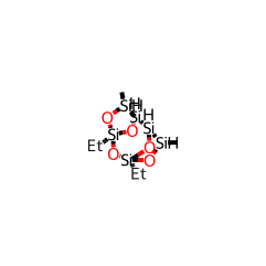 CC[Si]12O[SiH](C)[SiH](O1)[SiH]1O[Si](CC)(O[SiH]1C)O2